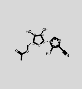 CC(=O)OC[C@H]1O[C@@H](n2cnc(C#N)c2O)[C@H](O)[C@@H]1O